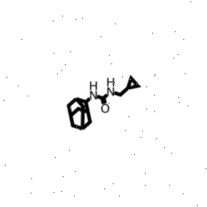 O=C(NCC1CC1)NC1C2CC3CC(C2)CC1C3